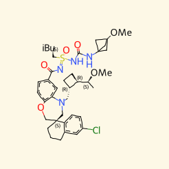 CC[C@H](C)CS(=O)(=NC(=O)c1ccc2c(c1)N(C[C@@H]1CC[C@H]1[C@H](C)OC)C[C@@]1(CCCc3cc(Cl)ccc31)CO2)NC(=O)NC12CC(OC)(C1)C2